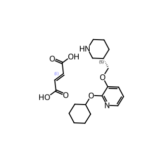 O=C(O)/C=C/C(=O)O.c1cnc(OC2CCCCC2)c(OC[C@H]2CCCNC2)c1